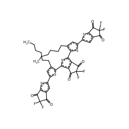 CCCCCCc1cc(-c2cc3c(s2)C(=O)C(F)(F)C3=O)sc1-c1sc(-c2sc(-c3cc4c(s3)C(=O)C(F)(F)C4=O)cc2CCCCCC)c2c1C(=O)C(F)(F)C2=O